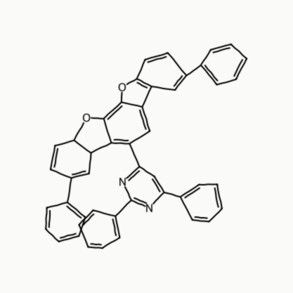 C1=CC2Oc3c(c(-c4cc(-c5ccccc5)nc(-c5ccccc5)n4)cc4c3oc3ccc(-c5ccccc5)cc34)C2C=C1c1ccccc1